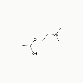 CC(O)OCC[As](C)C